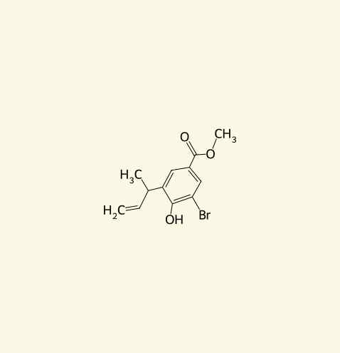 C=CC(C)c1cc(C(=O)OC)cc(Br)c1O